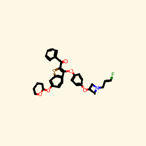 O=C(c1ccccc1)c1sc2cc(OC3CCCCO3)ccc2c1Oc1ccc(OC2CN(CCCF)C2)cc1